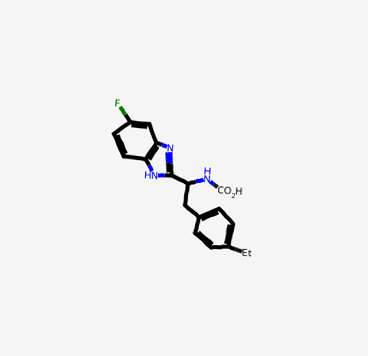 CCc1ccc(CC(NC(=O)O)c2nc3cc(F)ccc3[nH]2)cc1